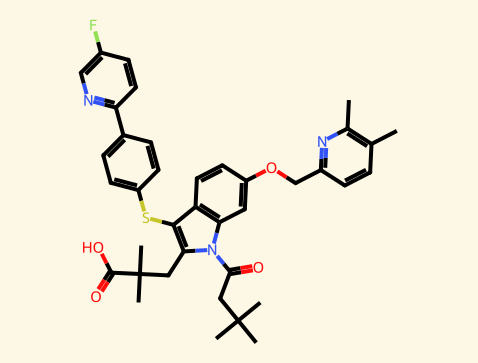 Cc1ccc(COc2ccc3c(Sc4ccc(-c5ccc(F)cn5)cc4)c(CC(C)(C)C(=O)O)n(C(=O)CC(C)(C)C)c3c2)nc1C